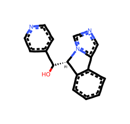 OC(c1ccncc1)[C@H]1c2ccccc2-c2cncn21